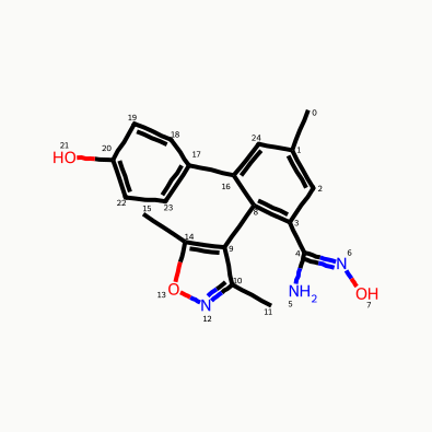 Cc1cc(/C(N)=N/O)c(-c2c(C)noc2C)c(-c2ccc(O)cc2)c1